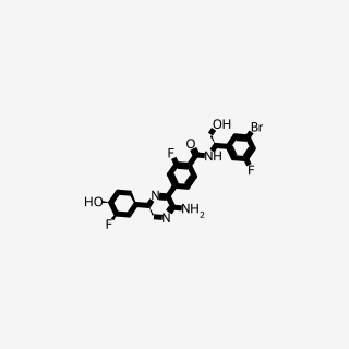 NC1=NC[C@H]([C@@H]2CC[C@@H](O)[C@H](F)C2)N=C1c1ccc(C(=O)N[C@H](CO)c2cc(F)cc(Br)c2)c(F)c1